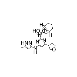 Cc1cc(Nc2cc(C3CCOC3)nc(N(C)[C@H]3C[C@H]4CCC[C@@H](C3)N4C(=O)O)n2)n[nH]1